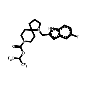 O=C(OC(C(F)(F)F)C(F)(F)F)N1CCC2(CCCN2Cc2cc3cc(F)ccc3[nH]2)CC1